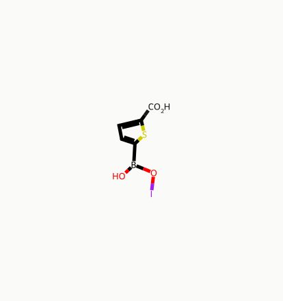 O=C(O)c1ccc(B(O)OI)s1